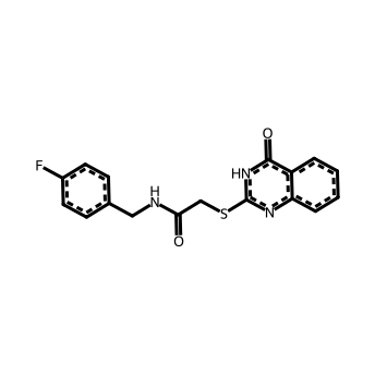 O=C(CSc1nc2ccccc2c(=O)[nH]1)NCc1ccc(F)cc1